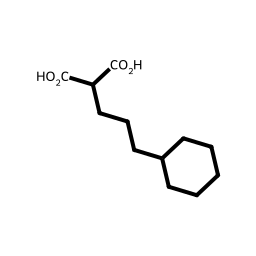 O=C(O)C(CCCC1CCCCC1)C(=O)O